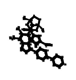 CC(=O)Nc1nc(C(=O)N2[C@@H]3CC[C@H]2C[C@@H](c2nc4c(-c5ccc(-c6ccccc6)nc5)cnn4c(N)c2C(C)=O)C3)n[nH]1